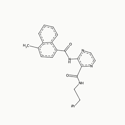 Cc1ccc(C(=O)Nc2nccnc2C(=O)NCCC(C)C)c2ccccc12